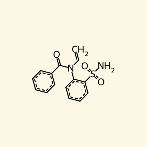 C=CN(C(=O)c1ccccc1)c1ccccc1S(N)(=O)=O